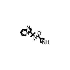 CN(C(=O)C1CNC1)C(C)(C)c1cnc2ccccn12